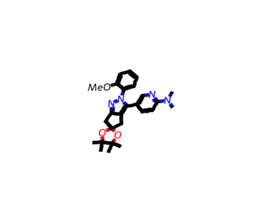 COc1ccccc1-n1nc2c(c1-c1ccc(N(C)C)nc1)CC1(C2)OC(C)(C)C(C)(C)O1